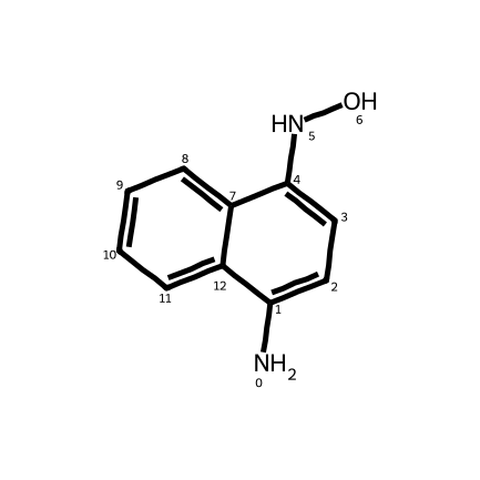 Nc1ccc(NO)c2ccccc12